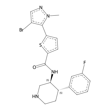 Cn1ncc(Br)c1-c1ccc(C(=O)N[C@@H]2CNCC[C@H]2c2cccc(F)c2)s1